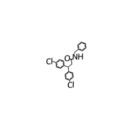 O=C(CC(c1ccc(Cl)cc1)c1ccc(Cl)cc1)NCc1ccccc1